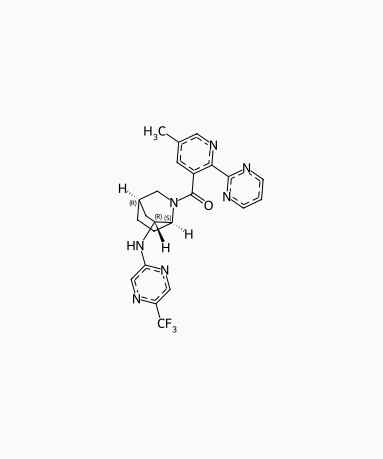 Cc1cnc(-c2ncccn2)c(C(=O)N2C[C@@H]3CC[C@H]2[C@H](Nc2cnc(C(F)(F)F)cn2)C3)c1